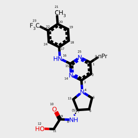 CCCc1cc(N2CC[C@H](NC(=O)CO)C2)nc(Nc2ccc(C)c(C(F)(F)F)c2)n1